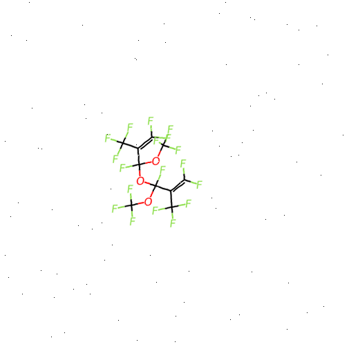 FC(F)=C(C(F)(F)F)C(F)(OC(F)(F)F)OC(F)(OC(F)(F)F)C(=C(F)F)C(F)(F)F